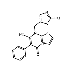 O=c1c(-c2ccccc2)c(O)n(Cc2cnc(Cl)s2)c2scc[n+]12